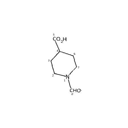 O=[C]N1CCC(C(=O)O)CC1